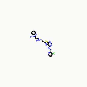 Clc1cccnc1CNc1ncnc2sc(CCNCCc3nc4ccccc4[nH]3)nc12